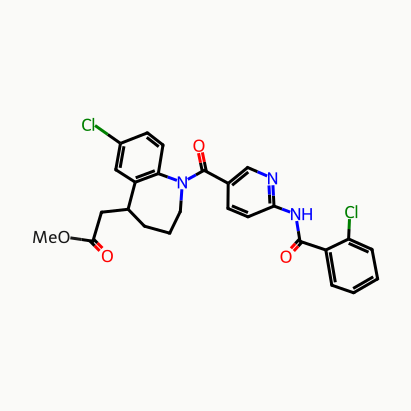 COC(=O)CC1CCCN(C(=O)c2ccc(NC(=O)c3ccccc3Cl)nc2)c2ccc(Cl)cc21